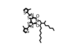 CCCCCCCCC(Cn1c(=O)c2nc(-c3sccc3C)sc2c2sc(-c3sccc3C)nc2c1=O)C(C)CCCCC